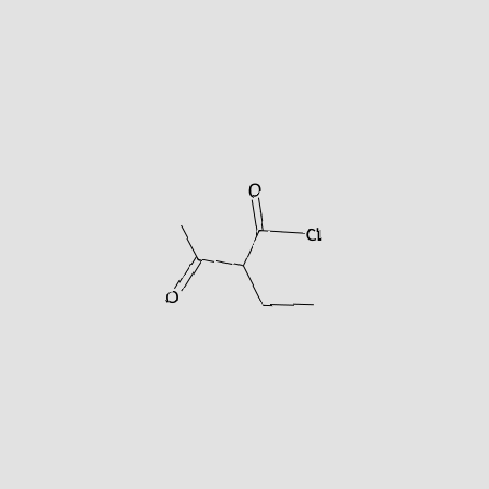 CCC(C(C)=O)C(=O)Cl